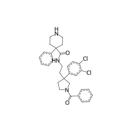 O=C(c1ccccc1)N1CCC(CCNC(=O)C2(c3ccccc3)CCNCC2)(c2ccc(Cl)c(Cl)c2)C1